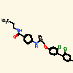 CC(C)[C@@H](COc1ccc(-c2ccc(C(F)(F)F)cc2Cl)c(Cl)c1)Nc1ccc(C(=O)NCCC(=O)O)cc1